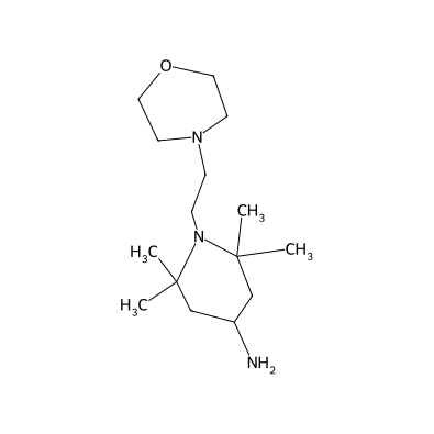 CC1(C)CC(N)CC(C)(C)N1CCN1CCOCC1